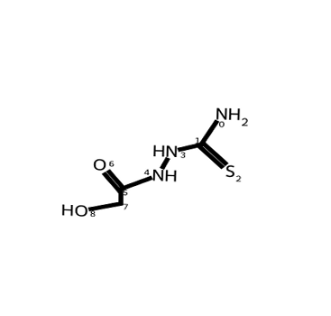 NC(=S)NNC(=O)CO